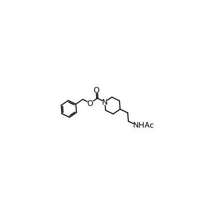 CC(=O)NCCC1CCN(C(=O)OCc2ccccc2)CC1